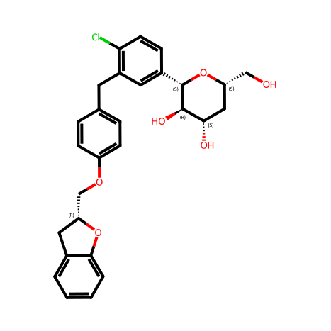 OC[C@@H]1C[C@H](O)[C@@H](O)[C@H](c2ccc(Cl)c(Cc3ccc(OC[C@H]4Cc5ccccc5O4)cc3)c2)O1